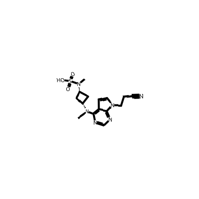 CN(c1ncnc2c1ccn2CCC#N)[C@H]1C[C@@H](N(C)S(=O)(=O)O)C1